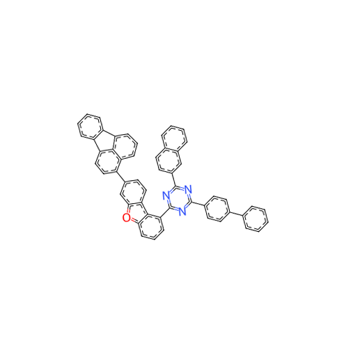 c1ccc(-c2ccc(-c3nc(-c4ccc5ccccc5c4)nc(-c4cccc5oc6cc(-c7ccc8c9c(cccc79)-c7ccccc7-8)ccc6c45)n3)cc2)cc1